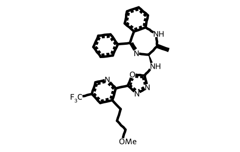 C=C1Nc2ccccc2C(c2ccccc2)=N[C@@H]1Nc1nnc(-c2ncc(C(F)(F)F)cc2CCCOC)o1